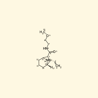 C=C[C@H]1C(C(=O)NCCOC)C2CCC[C@@H]1N2